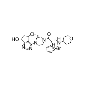 C[C@@H]1C[C@@H](O)c2ncnc(N3CCN(C(=O)[C@H](CNC4CCOCC4)C4=CC=C[SH]4Br)CC3)c21